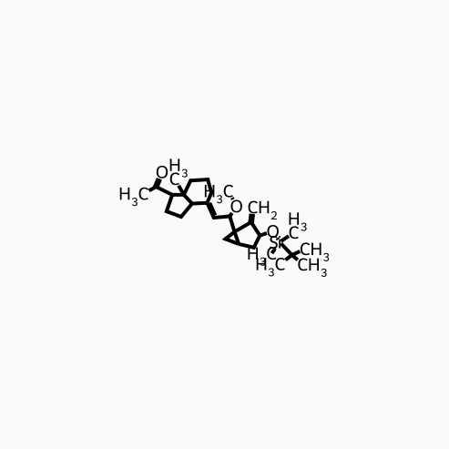 C=C1C(O[Si](C)(C)C(C)(C)C)CC2CC12C(C=C1CCCC2(C)C(C(C)=O)CCC12)OC